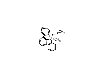 C=CC[As](C)(c1ccccc1)(c1ccccc1)c1ccccc1